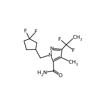 Cc1c(C(C)(F)F)nn(CC2CCC(F)(F)C2)c1C(N)=O